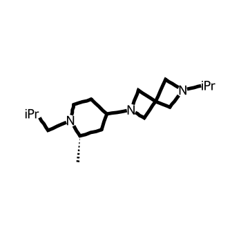 CC(C)CN1CCC(N2CC3(CN(C(C)C)C3)C2)C[C@@H]1C